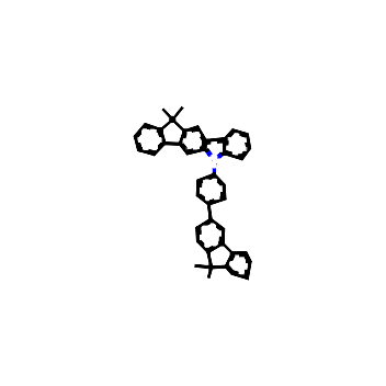 CC1(C)c2ccccc2-c2cc(-c3ccc(-n4c5ccccc5c5cc6c(cc54)-c4ccccc4C6(C)C)cc3)ccc21